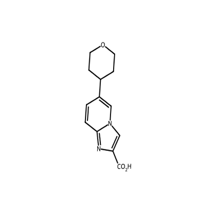 O=C(O)c1cn2cc(C3CCOCC3)ccc2n1